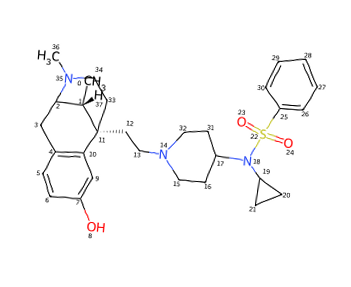 C[C@H]1C2Cc3ccc(O)cc3[C@]1(CCN1CCC(N(C3CC3)S(=O)(=O)c3ccccc3)CC1)CCN2C